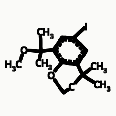 COC(C)(C)c1cc(I)cc2c1OCCC2(C)C